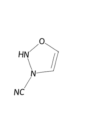 N#CN1C=CON1